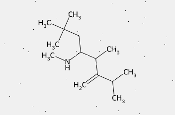 C=C(C(C)C)C(C)C(CC(C)(C)C)NC